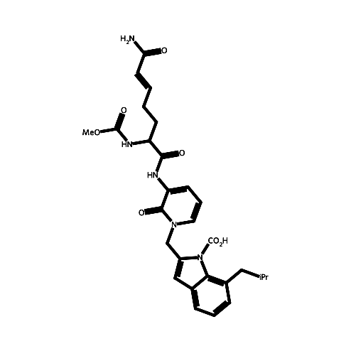 COC(=O)NC(CCC=CC(N)=O)C(=O)Nc1cccn(Cc2cc3cccc(CC(C)C)c3n2C(=O)O)c1=O